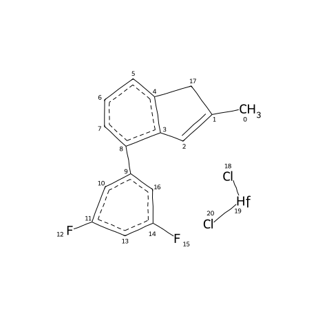 CC1=Cc2c(cccc2-c2cc(F)cc(F)c2)C1.[Cl][Hf][Cl]